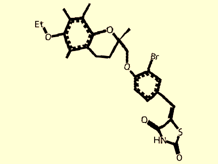 CCOc1c(C)c(C)c2c(c1C)CC[C@@](C)(COc1ccc(/C=C3/SC(=O)NC3=O)cc1Br)O2